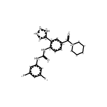 O=C(Nc1cc(F)cc(F)c1)Nc1ccc(C(=O)N2CCCCC2)cc1-c1nnn[nH]1